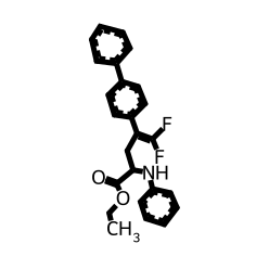 CCOC(=O)C(CC(=C(F)F)c1ccc(-c2ccccc2)cc1)Nc1ccccc1